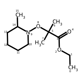 CCOC(=O)C(C)(C)ON1CCCCC1C